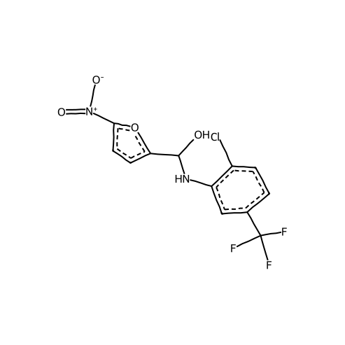 O=[N+]([O-])c1ccc(C(O)Nc2cc(C(F)(F)F)ccc2Cl)o1